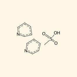 CS(=O)(=O)O.c1ccncc1.c1ccncc1